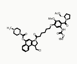 COc1cc(C(=O)N2CCC[C@H]2COC(C)=O)c(NC(=O)OC(C)(C)C)cc1OCCCCCC(=O)N1CC(CCl)c2c1cc(OC(=O)N1CCN(C)CC1)c1ccccc21